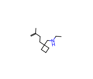 C=C(C)CCC1(CNCC)CCC1